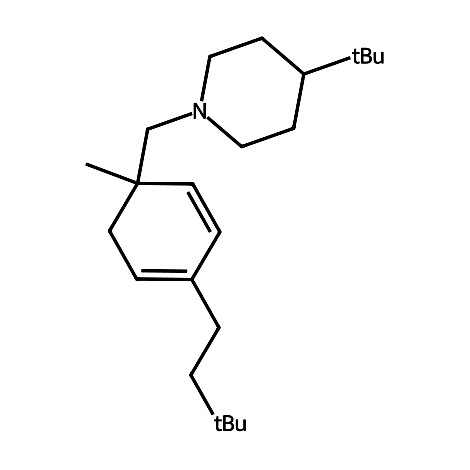 CC(C)(C)CCC1=CCC(C)(CN2CCC(C(C)(C)C)CC2)C=C1